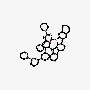 c1ccc(-c2cccc(-c3cccc(-c4ccccc4-n4c5ccccc5c5ccc6c7cc8ccccc8cc7n(-c7nc(-c8ccccc8)nc(-c8ccccc8)n7)c6c54)c3)c2)cc1